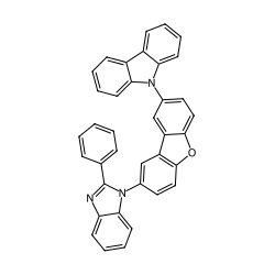 c1ccc(-c2nc3ccccc3n2-c2ccc3oc4ccc(-n5c6ccccc6c6ccccc65)cc4c3c2)cc1